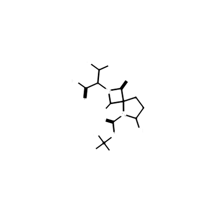 CC(O)C(C(=O)O)N1C(=O)C2(CCC(C)N2C(=O)OC(C)(C)C)C1C